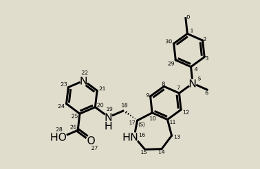 Cc1ccc(N(C)c2ccc3c(c2)CCCN[C@@H]3CNc2cnccc2C(=O)O)cc1